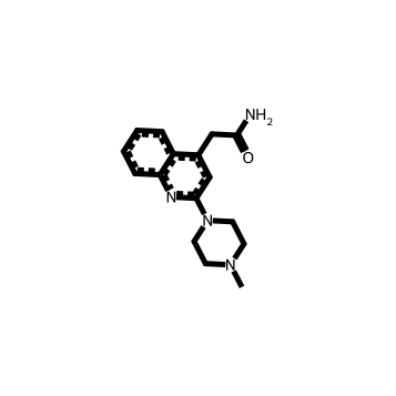 CN1CCN(c2cc(CC(N)=O)c3ccccc3n2)CC1